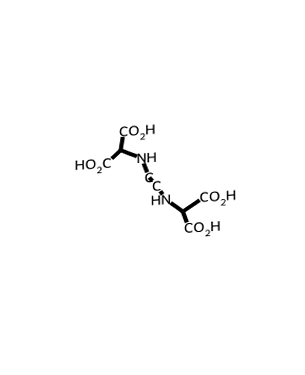 O=C(O)C(NCCNC(C(=O)O)C(=O)O)C(=O)O